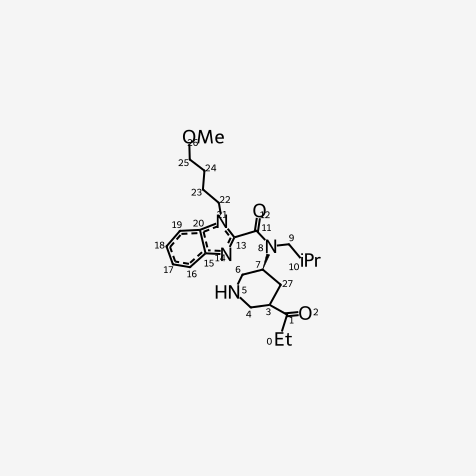 CCC(=O)C1CNC[C@@H](N(CC(C)C)C(=O)c2nc3ccccc3n2CCCCOC)C1